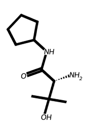 CC(C)(O)[C@@H](N)C(=O)NC1CCCC1